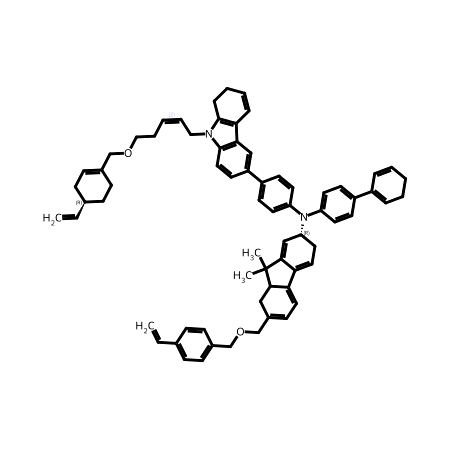 C=Cc1ccc(COCC2=CC=C3C4=CC[C@@H](N(c5ccc(C6=CCCC=C6)cc5)c5ccc(-c6ccc7c(c6)c6c(n7C/C=C\CCOCC7=CC[C@H](C=C)CC7)CCC=C6)cc5)C=C4C(C)(C)C3C2)cc1